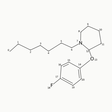 CCCCCCCN1CCCCC1Oc1ccc(F)cc1